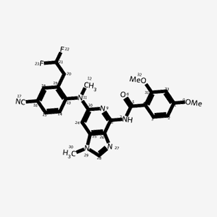 COc1ccc(C(=O)Nc2nc(N(C)c3ccc(C#N)cc3CC(F)F)cc3c2ncn3C)c(OC)c1